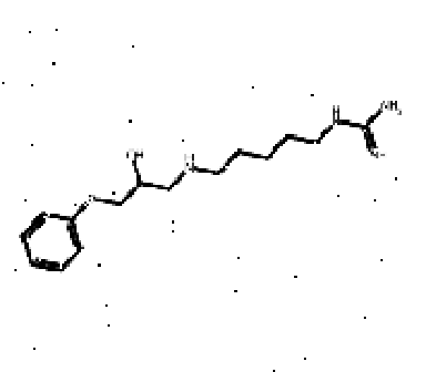 N=C(N)NCCCCCNCC(O)COc1ccccc1